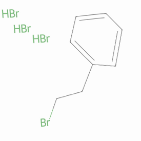 Br.Br.Br.BrCCc1ccccc1